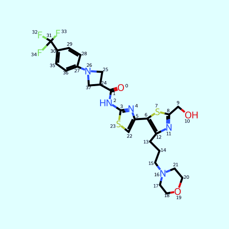 O=C(Nc1nc(-c2sc(CO)nc2CCCN2CCOCC2)cs1)C1CN(c2ccc(C(F)(F)F)cc2)C1